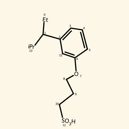 CCC(c1cccc(OCCCS(=O)(=O)O)c1)C(C)C